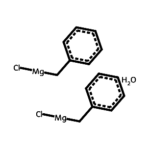 O.[Cl][Mg][CH2]c1ccccc1.[Cl][Mg][CH2]c1ccccc1